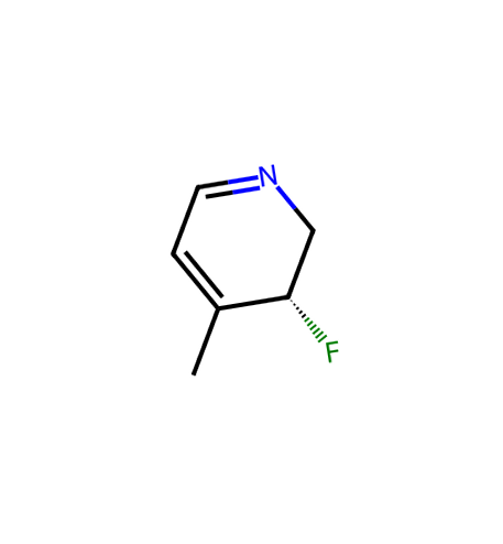 CC1=CC=NC[C@@H]1F